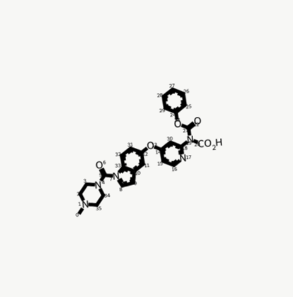 CN1CCN(C(=O)n2ccc3cc(Oc4ccnc(N(C(=O)O)C(=O)Oc5ccccc5)c4)ccc32)CC1